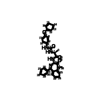 C[C@H](NC(=O)Nc1ccc(Oc2ccccc2)cc1)C(=O)N[C@H]1N=C(c2ccccc2)c2ccccc2N(C)C1=O